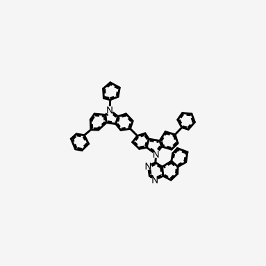 c1ccc(-c2ccc3c(c2)c2cc(-c4ccc5c(c4)c4cc(-c6ccccc6)ccc4n5-c4ncnc5ccc6ccccc6c45)ccc2n3-c2ccccc2)cc1